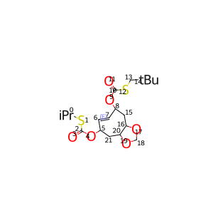 CC(C)SC(=O)OC1/C=C/C(OC(=O)SCC(C)(C)C)CC2OCOC2C1